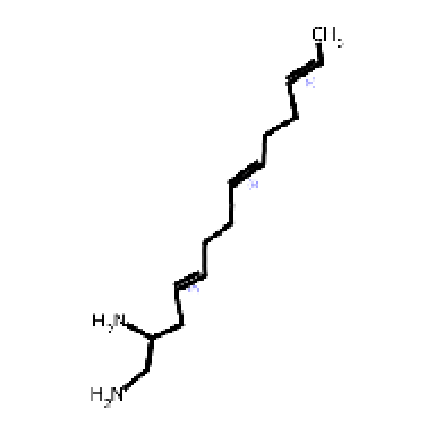 C/C=C/CC/C=C/CC/C=C/CC(N)CN